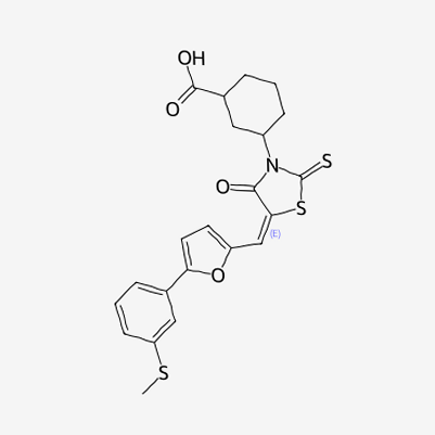 CSc1cccc(-c2ccc(/C=C3/SC(=S)N(C4CCCC(C(=O)O)C4)C3=O)o2)c1